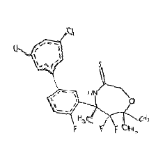 CC1(C)OCC(=S)NC(C)(c2cc(-c3cc(Cl)cc(Cl)c3)ccc2F)C1(F)F